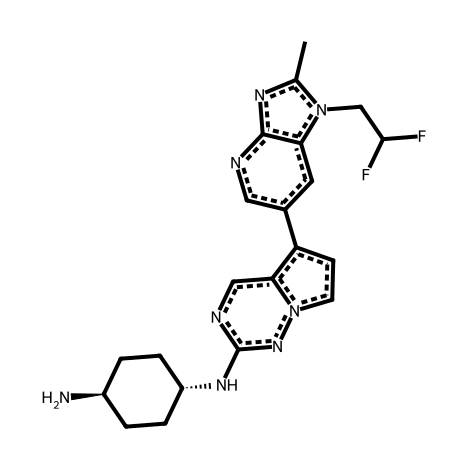 Cc1nc2ncc(-c3ccn4nc(N[C@H]5CC[C@H](N)CC5)ncc34)cc2n1CC(F)F